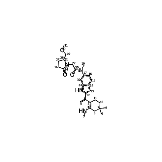 C=C(C1=C(NC)CC(C)(C)CC1)c1cc2ccc(N(C)C(=O)CN3C(=O)CC[C@H]3COC)cc2[nH]1